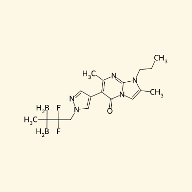 BC(B)(C)C(F)(F)Cn1cc(-c2c(C)nc3n(CCC)c(C)cn3c2=O)cn1